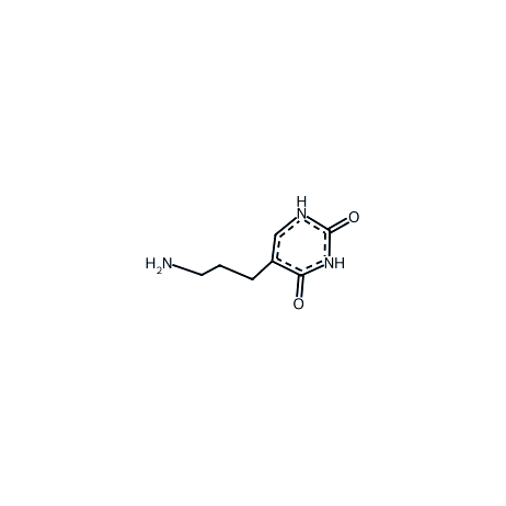 NCCCc1c[nH]c(=O)[nH]c1=O